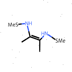 CSN/C(C)=C(/C)NSC